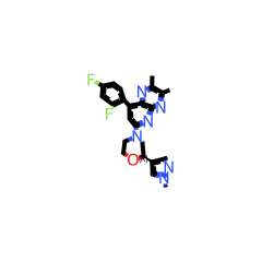 Cc1nc2nc(N3CCO[C@H](c4cnn(C)c4)C3)cc(-c3ccc(F)cc3F)c2nc1C